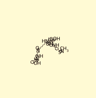 Cc1ncsc1-c1ccc(CNC(=O)[C@@H]2C[C@@H](O)CN2C(=O)[C@@H](NC(=O)CCCCCCC(=O)N2CC(c3cc4cc(-c5ccccc5O)nnc4[nH]3)C2)C(C)(C)C)cc1